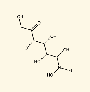 CCN(O)C(O)[C@H](O)[C@@H](O)[C@H](O)C(=O)CO